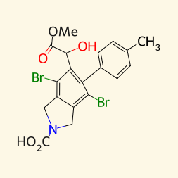 COC(=O)C(O)c1c(Br)c2c(c(Br)c1-c1ccc(C)cc1)CN(C(=O)O)C2